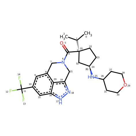 CC(C)[C@]1(C(=O)N2Cc3cc(C(F)(F)F)cc4[nH]nc(c34)C2)CC[C@@H](NC2CCOCC2)C1